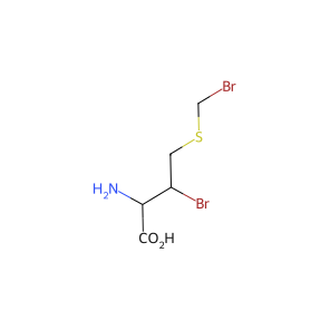 NC(C(=O)O)C(Br)CSCBr